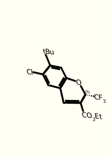 CCOC(=O)C1=Cc2cc(Cl)c(C(C)(C)C)cc2O[C@@H]1C(F)(F)F